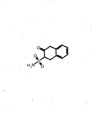 NS(=O)(=O)C1Cc2ccccc2CC1=O